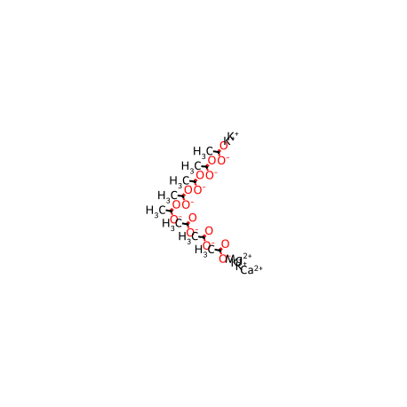 CC(=O)[O-].CC(=O)[O-].CC(=O)[O-].CC(=O)[O-].CC(=O)[O-].CC(=O)[O-].CC(=O)[O-].CC(=O)[O-].[Ca+2].[K+].[K+].[K+].[K+].[Mg+2]